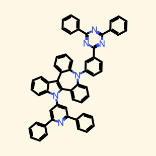 c1ccc(-c2cc(-n3c4c(c5ccccc53)-c3ccccc3N(c3cccc(-c5nc(-c6ccccc6)nc(-c6ccccc6)n5)c3)c3ccccc3-4)cc(-c3ccccc3)n2)cc1